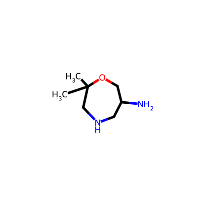 CC1(C)CNCC(N)CO1